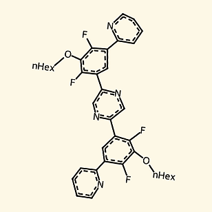 CCCCCCOc1c(F)c(-c2ccccn2)cc(-c2cnc(-c3cc(-c4ccccn4)c(F)c(OCCCCCC)c3F)cn2)c1F